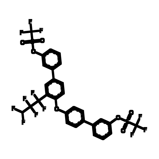 O=S(=O)(Oc1cccc(-c2ccc(Oc3ccc(-c4cccc(OS(=O)(=O)C(F)(F)F)c4)cc3C(F)(F)C(F)(F)C(F)F)cc2)c1)C(F)(F)F